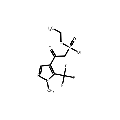 CCOP(=O)(O)CC(=O)c1cnn(C)c1C(F)(F)F